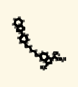 Cc1cn(C(C)C(=O)O)c2ccc(OCCCOc3ccc(-c4nc5c(o4)CCCC5)cc3)cc12